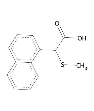 CSC(C(=O)O)c1cccc2ccccc12